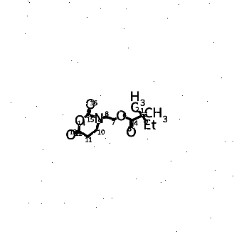 CCC(C)(C)C(=O)OCCN1CCC(=O)OC1=O